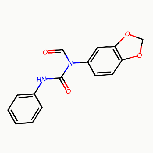 O=CN(C(=O)Nc1ccccc1)c1ccc2c(c1)OCO2